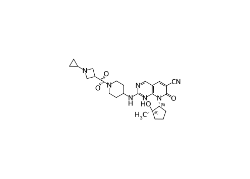 C[C@@]1(O)CCC[C@H]1n1c(=O)c(C#N)cc2cnc(NC3CCN(S(=O)(=O)C4CN(C5CC5)C4)CC3)nc21